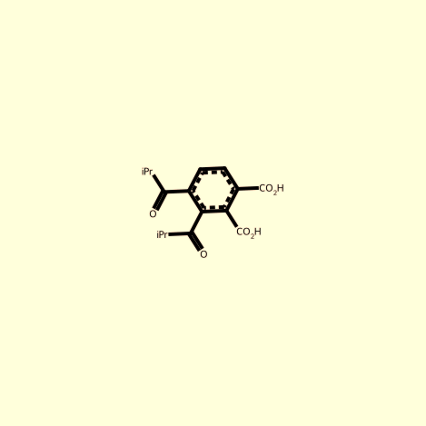 CC(C)C(=O)c1ccc(C(=O)O)c(C(=O)O)c1C(=O)C(C)C